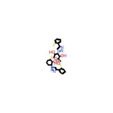 OC[C@H]1O[C@@H](S[C@@H]2CCC[C@H](n3cc(-c4ccccc4F)nn3)[C@H]2O)[C@H](O)[C@@H](n2cc(-c3ccccc3F)nn2)[C@H]1O